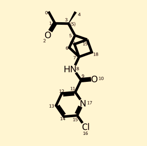 CC(=O)[C@@H](C)C1CC2(NC(=O)c3cccc(Cl)n3)CC1C2